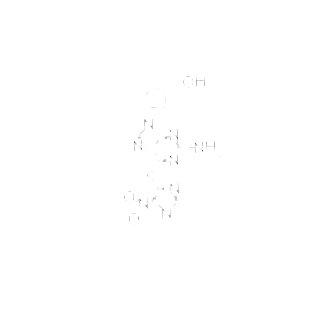 Cn1cnc([N+](=O)[O-])c1Sc1nc(N)nc2c1ncn2[C@@H]1C=C[C@H](CO)C1